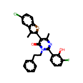 Cc1nc(-c2cccc(F)c2O)n(CCc2ccccc2)c(=O)c1-c1sc2ccc(Cl)cc2c1C